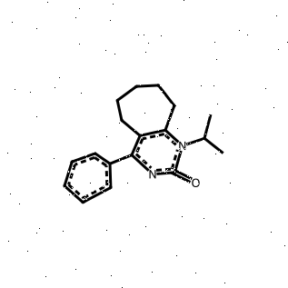 CC(C)n1c2c(c(-c3ccccc3)nc1=O)CCCCC2